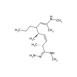 CCCC(/C=C(\C)NC)[C@H](C)/C=C\[C@@H](C)/C(=N\N)NC